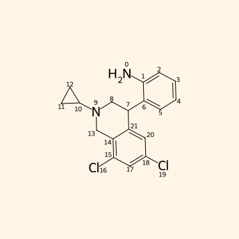 Nc1ccccc1C1CN(C2CC2)Cc2c(Cl)cc(Cl)cc21